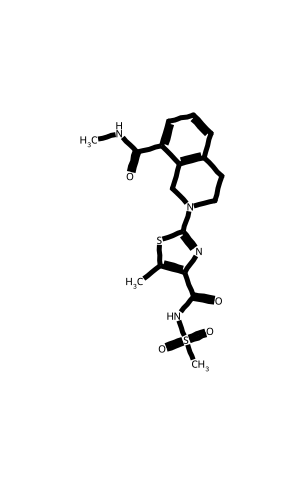 CNC(=O)c1cccc2c1CN(c1nc(C(=O)NS(C)(=O)=O)c(C)s1)CC2